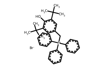 CC(C)(C)c1cc(C[P+](c2ccccc2)(c2ccccc2)c2ccccc2)cc(C(C)(C)C)c1O.[Br-]